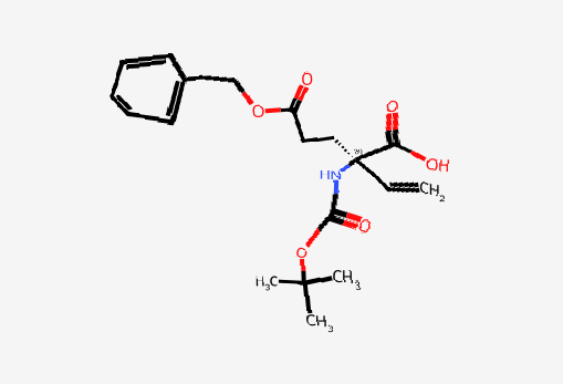 C=C[C@@](CCC(=O)OCc1ccccc1)(NC(=O)OC(C)(C)C)C(=O)O